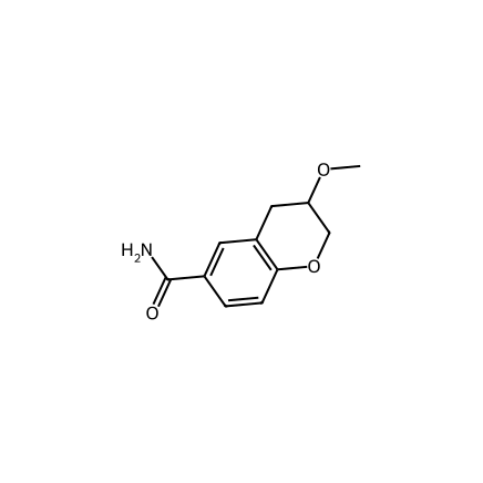 COC1COc2ccc(C(N)=O)cc2C1